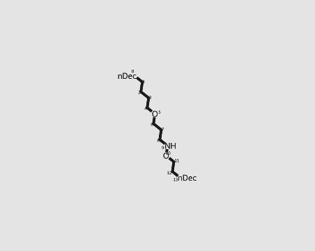 CCCCCCCCCCCCCCOCCCNOCCCCCCCCCCCC